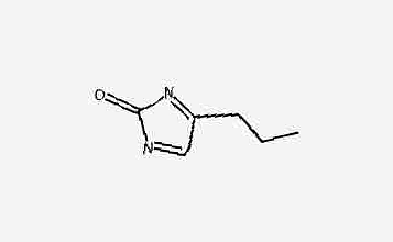 CCCC1=NC(=O)N=C1